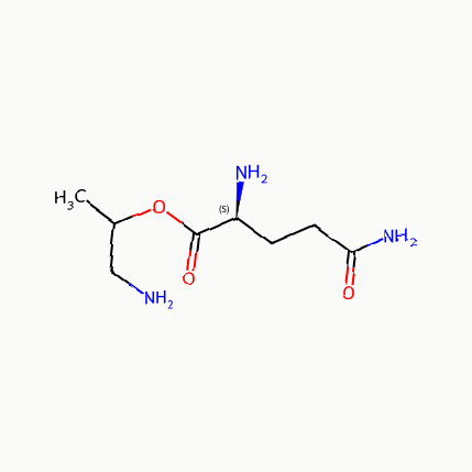 CC(CN)OC(=O)[C@@H](N)CCC(N)=O